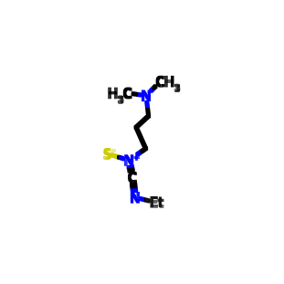 CCN=C=[N+]([S-])CCCN(C)C